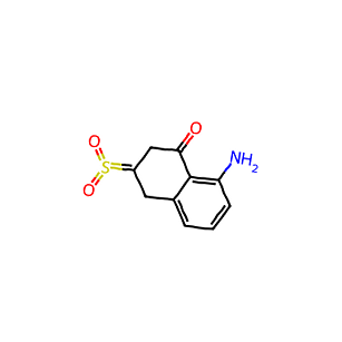 Nc1cccc2c1C(=O)CC(=S(=O)=O)C2